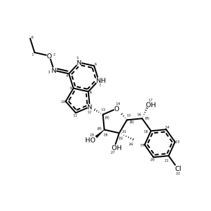 CCON=c1nc[nH]c2c1ccn2[C@@H]1O[C@H]([C@H](O)c2ccc(Cl)cc2)[C@@](C)(O)[C@H]1O